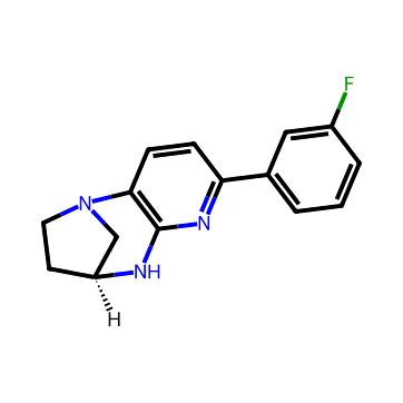 Fc1cccc(-c2ccc3c(n2)N[C@H]2CCN3C2)c1